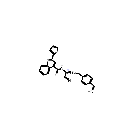 N=C/C(=C\NCc1ccc(C=N)cc1)NC(=O)C1=CC(c2cccs2)Nc2ccccc21